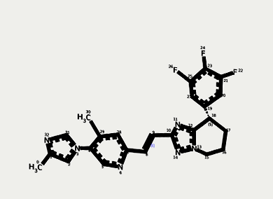 Cc1cn(-c2cnc(/C=C/c3nc4n(n3)CCC[C@H]4c3cc(F)c(F)c(F)c3)cc2C)cn1